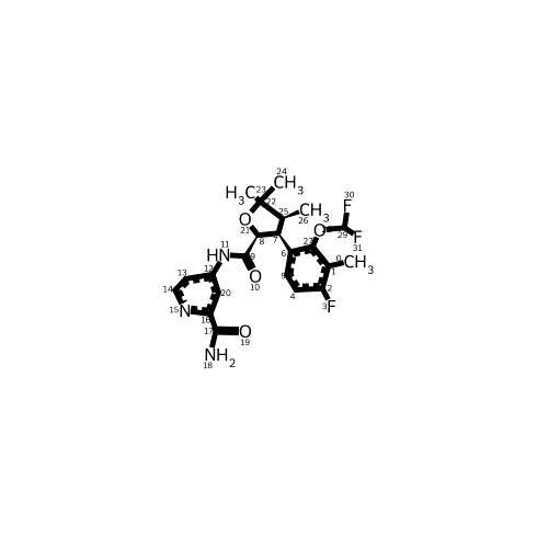 Cc1c(F)ccc([C@H]2[C@@H](C(=O)Nc3ccnc(C(N)=O)c3)OC(C)(C)[C@H]2C)c1OC(F)F